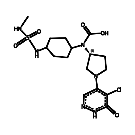 CNS(=O)(=O)NC1CCC(N(C(=O)O)[C@@H]2CCN(c3cn[nH]c(=O)c3Cl)C2)CC1